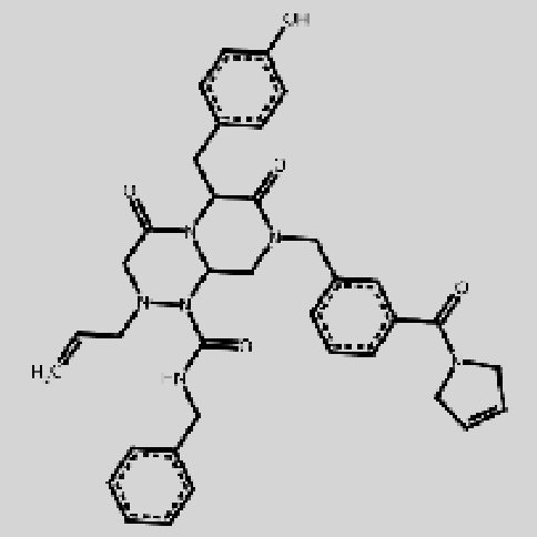 C=CCN1CC(=O)N2C(Cc3ccc(O)cc3)C(=O)N(Cc3cccc(C(=O)N4CC=CC4)c3)CC2N1C(=O)NCc1ccccc1